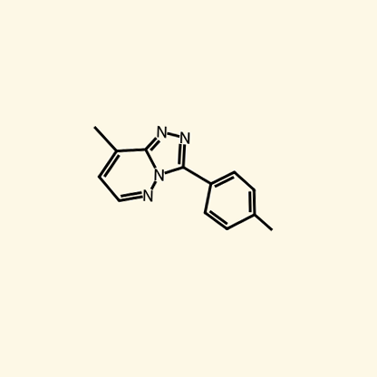 Cc1ccc(-c2nnc3c(C)ccnn23)cc1